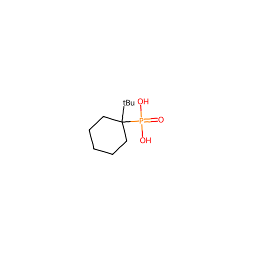 CC(C)(C)C1(P(=O)(O)O)CCCCC1